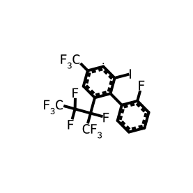 Fc1ccccc1-c1c(I)[c]c(C(F)(F)F)cc1C(F)(C(F)(F)F)C(F)(F)C(F)(F)F